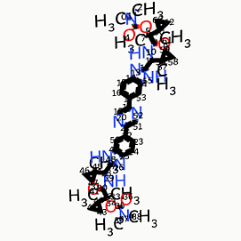 CN(C)C(=O)O[C@@](C)(C(=O)N[C@H](c1nc2ccc(-c3cnc(-c4ccc5nc([C@@H](NC(=O)[C@](C)(OC(=O)N(C)C)C6(C)CC6)C6(C)CC6)[nH]c5c4)cn3)cc2[nH]1)C1(C)CC1)C1(C)CC1